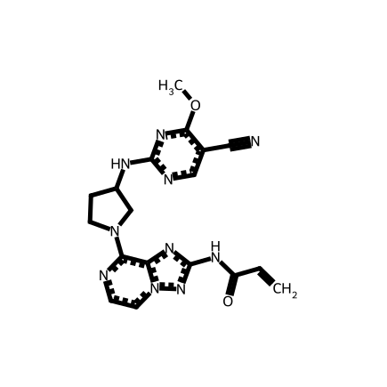 C=CC(=O)Nc1nc2c(N3CCC(Nc4ncc(C#N)c(OC)n4)C3)nccn2n1